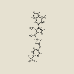 Cc1c(C(=O)N2CC(Cc3ccc(C(F)(F)F)cc3)C2)cnn1-c1nn2cccc2c(=O)[nH]1